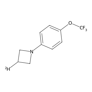 [2H]C1CN(c2ccc(OC(F)(F)F)cc2)C1